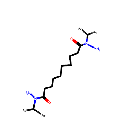 CC(=O)C(C(C)=O)N(N)C(=O)CCCCCCCCC(=O)N(N)C(C(C)=O)C(C)=O